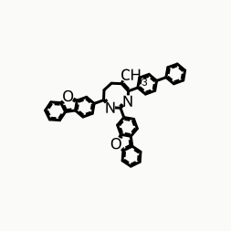 C/C1=C(c2ccc(-c3ccccc3)cc2)/N=C(c2ccc3c(c2)oc2ccccc23)\N=C(\c2ccc3c(c2)oc2ccccc23)CC1